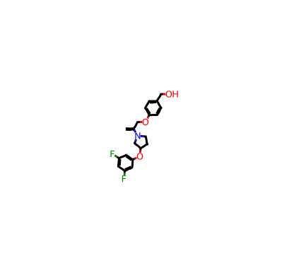 C=C(COc1ccc(CO)cc1)N1CCC(Oc2cc(F)cc(F)c2)C1